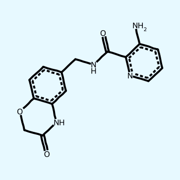 Nc1cccnc1C(=O)NCc1ccc2c(c1)NC(=O)CO2